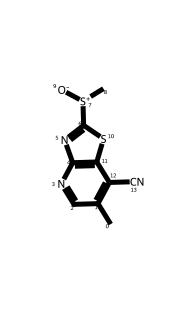 Cc1cnc2nc([S+](C)[O-])sc2c1C#N